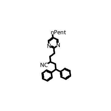 CCCCCc1cnc(CCC(C#N)CC(c2ccccc2)c2ccccc2)nc1